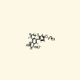 CCOCOc1ccc2c(c1)Sc1ccccc1C2=CC1CCNCC1.Cl